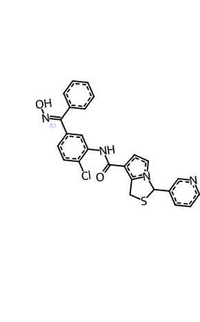 O=C(Nc1cc(/C(=N/O)c2ccccc2)ccc1Cl)c1ccn2c1CSC2c1cccnc1